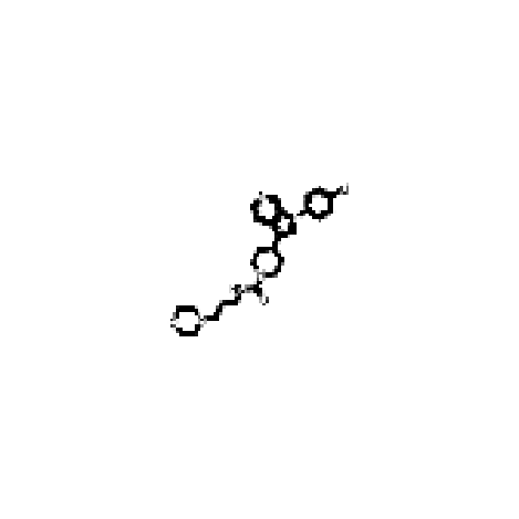 O=C(NCCCN1CCOCC1)N1CCC(c2cn(-c3ccc(Cl)cc3)c3cnccc23)CC1